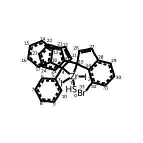 [SH][Zr]([I])([I])([C]1(c2ccccc2)C=Cc2ccccc21)[C]1(c2ccccc2)C=Cc2cccc(Br)c21